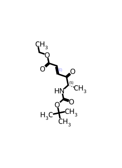 CCOC(=O)/C=C/C(=O)[C@H](C)NC(=O)OC(C)(C)C